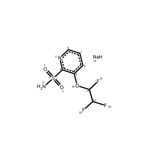 NS(=O)(=O)c1ncccc1OC(F)C(F)F.[NaH]